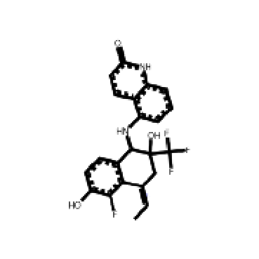 C/C=C1/CC(O)(C(F)(F)F)C(Nc2cccc3[nH]c(=O)ccc23)c2ccc(O)c(F)c21